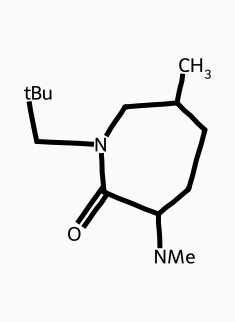 CNC1CCC(C)CN(CC(C)(C)C)C1=O